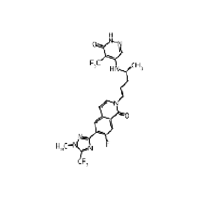 C[C@@H](CCCn1ccc2cc(-c3nc(C(F)(F)F)n(C)n3)c(F)cc2c1=O)Nc1cn[nH]c(=O)c1C(F)(F)F